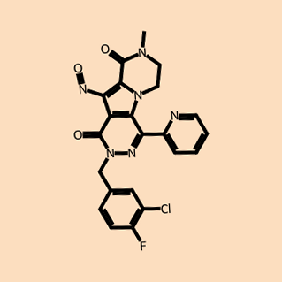 CN1CCn2c(c(N=O)c3c(=O)n(Cc4ccc(F)c(Cl)c4)nc(-c4ccccn4)c32)C1=O